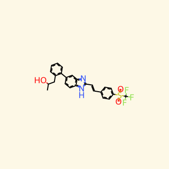 CC(O)Cc1ccccc1-c1ccc2[nH]c(/C=C/c3ccc(S(=O)(=O)C(F)(F)F)cc3)nc2c1